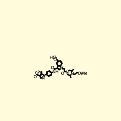 CCCC(=O)c1cnn(-c2ccc(NC(=O)c3cn(CC(=O)N4CC(C)N(CCOC)C(C)C4)c4ccc(Cl)cc34)cc2)c1C.Cl